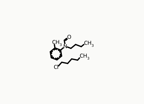 CCCCCCl.CCCCN(C=O)c1ccccc1C